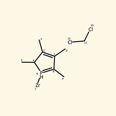 CC1=C(C)C(C)[PH]([Zr])=C1C.ClCCl